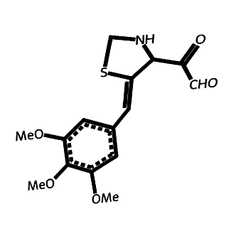 COc1cc(C=C2SCNC2C(=O)C=O)cc(OC)c1OC